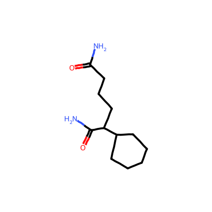 NC(=O)CCCC(C(N)=O)C1CCCCC1